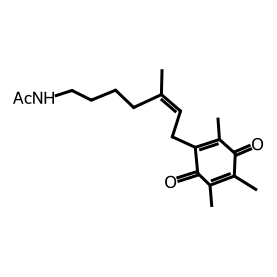 CC(=O)NCCCCC(C)=CCC1=C(C)C(=O)C(C)=C(C)C1=O